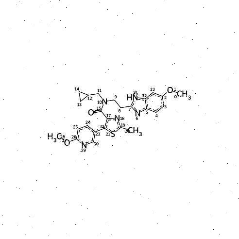 COc1ccc2nc(CCN(CC3CC3)C(=O)c3nc(C)sc3-c3ccc(OC)nc3)[nH]c2c1